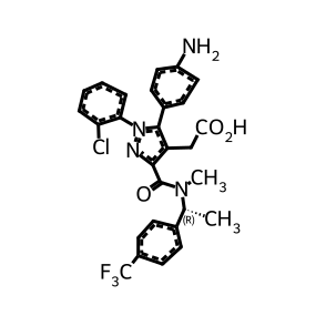 C[C@H](c1ccc(C(F)(F)F)cc1)N(C)C(=O)c1nn(-c2ccccc2Cl)c(-c2ccc(N)cc2)c1CC(=O)O